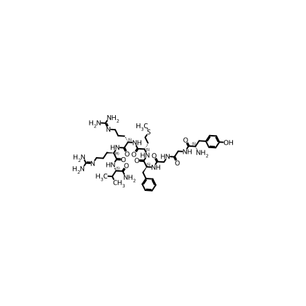 CSCC[C@H](NC(=O)[C@H](Cc1ccccc1)NC(=O)CNC(=O)CNC(=O)[C@@H](N)Cc1ccc(O)cc1)C(=O)N[C@@H](CCCN=C(N)N)C(=O)N[C@H](CCCN=C(N)N)C(=O)N[C@H](C(N)=O)C(C)C